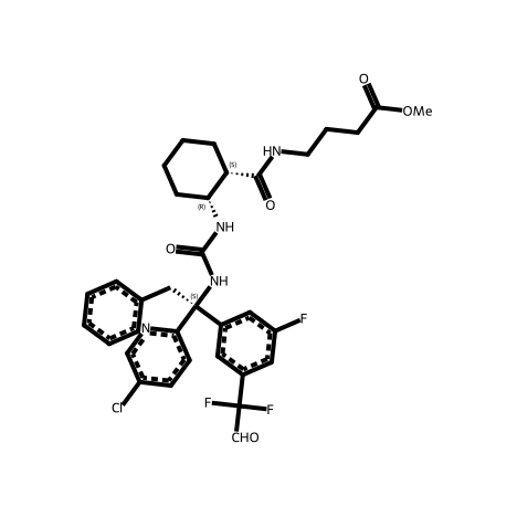 COC(=O)CCCNC(=O)[C@H]1CCCC[C@H]1NC(=O)N[C@@](Cc1ccccc1)(c1cc(F)cc(C(F)(F)C=O)c1)c1ccc(Cl)cn1